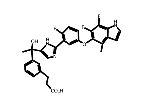 Cc1c(Oc2ccc(F)c(-c3ncc(C(C)(O)c4cccc(CCC(=O)O)c4)[nH]3)c2)c(F)c(F)c2[nH]ccc12